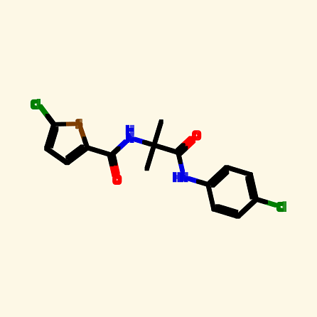 CC(C)(NC(=O)c1ccc(Cl)s1)C(=O)Nc1ccc(Cl)cc1